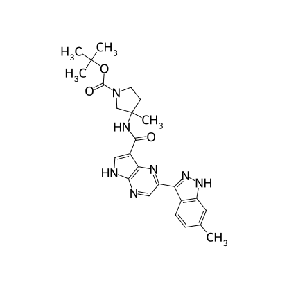 Cc1ccc2c(-c3cnc4[nH]cc(C(=O)NC5(C)CCN(C(=O)OC(C)(C)C)C5)c4n3)n[nH]c2c1